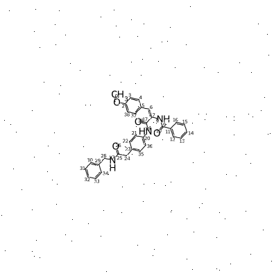 COc1ccc(/C=C(/NC(=O)c2ccccc2)C(=O)Nc2ccc(CC(=O)NCc3ccccc3)cc2)cc1